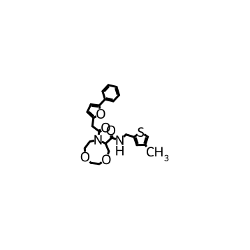 Cc1csc(CNC(=O)C2COCCOCCN2C(=O)Cc2ccc(-c3ccccc3)o2)c1